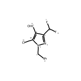 CC(C)Cn1nc(C(F)F)c(C=O)c1Cl